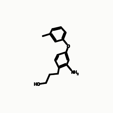 Cc1cccc(Oc2ccc(CCCO)c(N)c2)c1